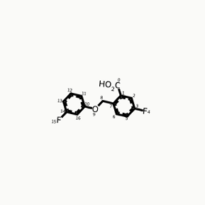 O=C(O)c1cc(F)ccc1COc1cccc(F)c1